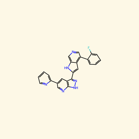 Fc1ccccc1-c1cncc2[nH]c(-c3n[nH]c4ncc(-c5ccccn5)cc34)cc12